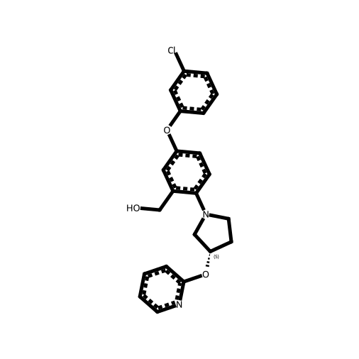 OCc1cc(Oc2cccc(Cl)c2)ccc1N1CC[C@H](Oc2ccccn2)C1